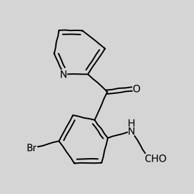 O=CNc1ccc(Br)cc1C(=O)c1ccccn1